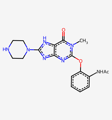 CC(=O)Nc1ccccc1Oc1nc2nc(N3CCNCC3)[nH]c2c(=O)n1C